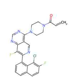 C=CC(=O)N1CCN(c2ncnc3c(F)c(-c4cccc5ccc(F)c(Cl)c45)ncc23)CC1